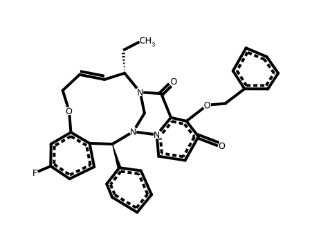 CC[C@H]1/C=C/COc2cc(F)ccc2[C@H](c2ccccc2)N2CN1C(=O)c1c(OCc3ccccc3)c(=O)ccn12